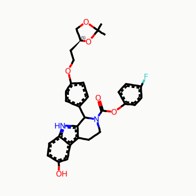 CC1(C)OC[C@H](CCOc2ccc(C3c4[nH]c5ccc(O)cc5c4CCN3C(=O)Oc3ccc(F)cc3)cc2)O1